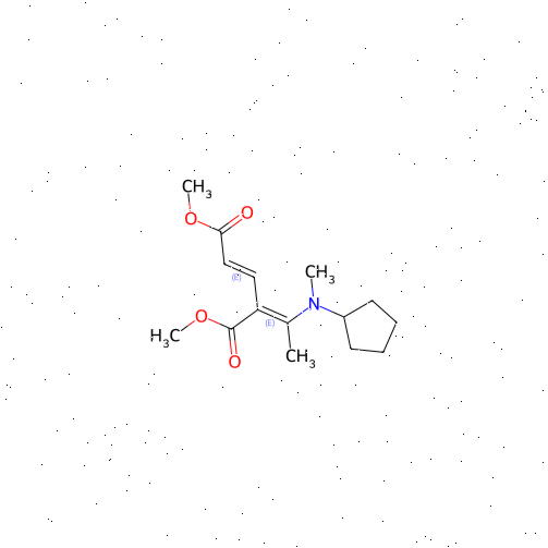 COC(=O)/C=C/C(C(=O)OC)=C(/C)N(C)C1CCCC1